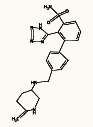 C=C1CCC(NCc2ccc(-c3cccc(S(N)(=O)=O)c3-c3nnn[nH]3)cc2)CN1